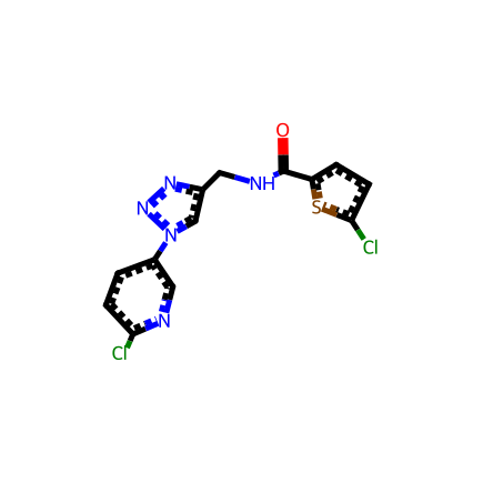 O=C(NCc1cn(-c2ccc(Cl)nc2)nn1)c1ccc(Cl)s1